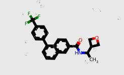 CC(NC(=O)c1ccc2c(-c3ccc(C(F)(F)F)cc3)cccc2c1)C1COC1